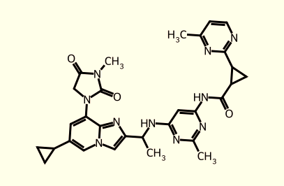 Cc1ccnc(C2CC2C(=O)Nc2cc(NC(C)c3cn4cc(C5CC5)cc(N5CC(=O)N(C)C5=O)c4n3)nc(C)n2)n1